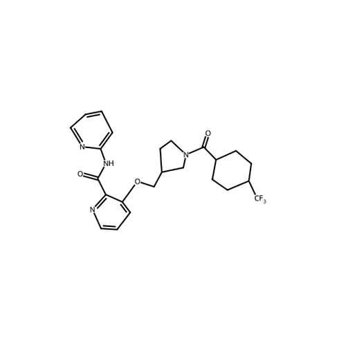 O=C(Nc1ccccn1)c1ncccc1OCC1CCN(C(=O)C2CCC(C(F)(F)F)CC2)C1